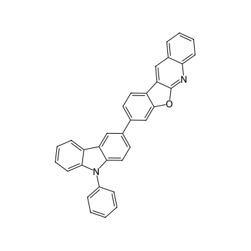 c1ccc(-n2c3ccccc3c3cc(-c4ccc5c(c4)oc4nc6ccccc6cc45)ccc32)cc1